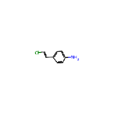 Nc1ccc(C=CCl)cc1